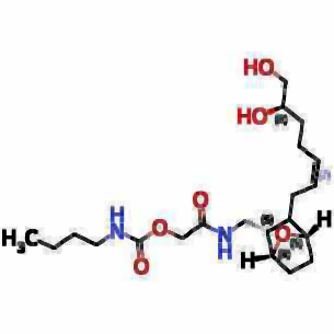 CCCCNC(=O)OCC(=O)NC[C@@H]1C(C/C=C\CC[C@@H](O)CO)[C@@H]2CC[C@H]1O2